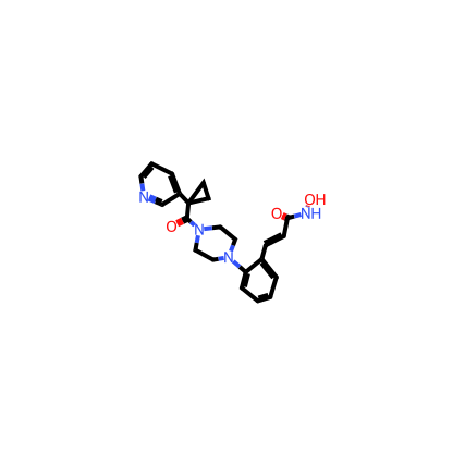 O=C(/C=C/c1ccccc1N1CCN(C(=O)C2(c3cccnc3)CC2)CC1)NO